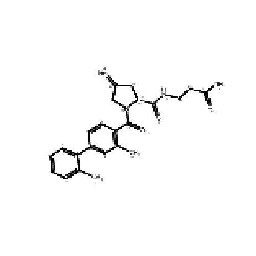 Cc1cc(-c2ccccc2C)ccc1C(=O)N1CC(=N)C[C@H]1C(=O)NCCC(N)=O